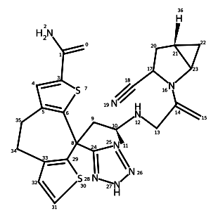 C=C(N)c1cc2c(s1)C(C[C@H](C)NCC(=C)N1C(C#N)C[C@@H]3CC31)(c1nn[nH]n1)c1sccc1CC2